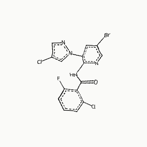 O=C(Nc1ncc(Br)cc1-n1cc(Cl)cn1)c1c(F)cccc1Cl